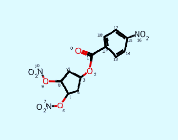 O=C(OC1CC(O[N+](=O)[O-])C(O[N+](=O)[O-])C1)c1ccc([N+](=O)[O-])cc1